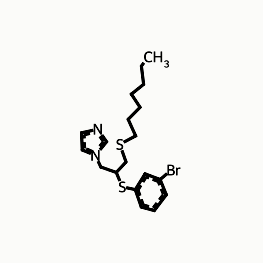 CCCCCCCSCC(Cn1ccnc1)Sc1cccc(Br)c1